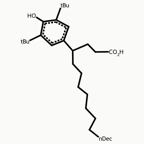 CCCCCCCCCCCCCCCCCC(CCC(=O)O)c1cc(C(C)(C)C)c(O)c(C(C)(C)C)c1